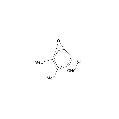 CC=O.COc1ccc2c(c1OC)O2